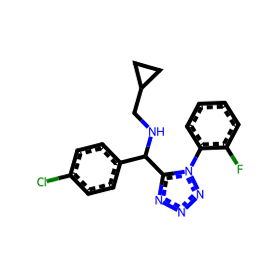 Fc1ccccc1-n1nnnc1C(NCC1CC1)c1ccc(Cl)cc1